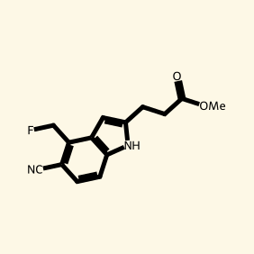 COC(=O)CCc1cc2c(CF)c(C#N)ccc2[nH]1